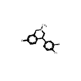 CN1Cc2cc(F)ccc2C(c2ccc(Cl)c(F)c2)C1